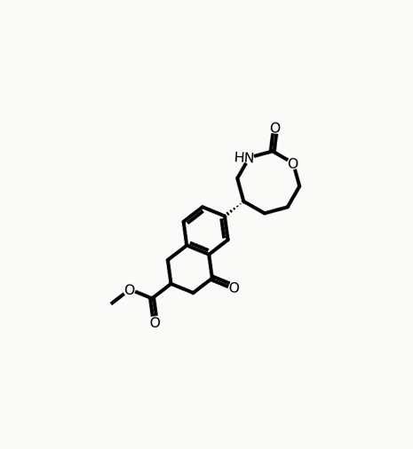 COC(=O)C1CC(=O)c2cc([C@H]3CCCOC(=O)NC3)ccc2C1